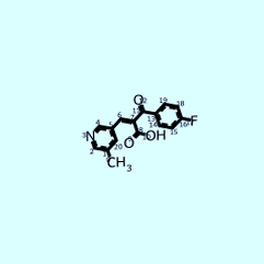 Cc1cncc(C=C(C(=O)O)C(=O)c2ccc(F)cc2)c1